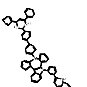 C1=CC2=CC=C(c3cccc(-n4c5c(c6ccccc64)-c4ccccc4N(c4ccc(-c6ccc(C7NC(c8ccccc8)=CC(c8ccccc8)N7)cc6)cc4)c4ccccc4-5)c3)NC2C=C1